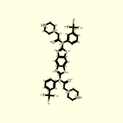 O=C(CN1CCNCC1)N(c1cccc(C(F)(F)F)c1)c1nc2cc3nc(N(C(=O)CN4CCNCC4)c4cccc(C(F)(F)F)c4)sc3cc2s1